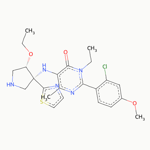 CCO[C@H]1CNC[C@]1(Nc1c(C)nc(-c2ccc(OC)cc2Cl)n(CC)c1=O)c1nccs1